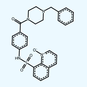 O=C(c1ccc(NS(=O)(=O)c2cccc3ccc[n+]([O-])c23)cc1)N1CCN(Cc2ccccc2)CC1